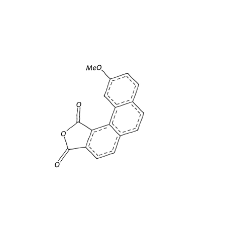 COc1ccc2ccc3ccc4c(c3c2c1)C(=O)OC4=O